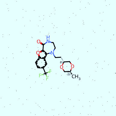 C[C@H]1CO[C@H](CCN2CCNC(=O)c3oc4ccc(C(F)(F)F)cc4c32)CO1